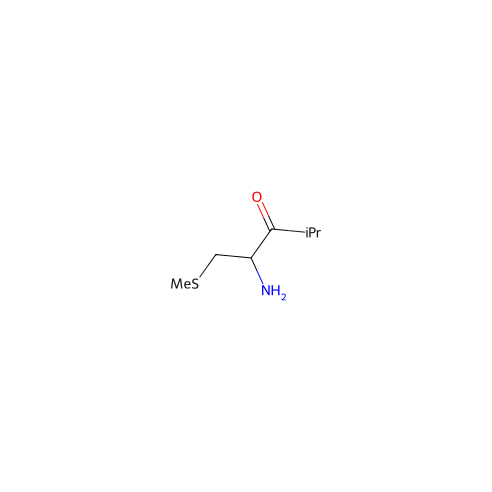 CSCC(N)C(=O)C(C)C